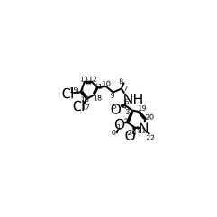 COc1c(C(=O)NC(C)CCc2ccc(Cl)c(Cl)c2)ccn(C)c1=O